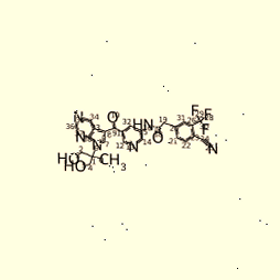 CC(CO)(CO)n1cc(C(=O)c2cncc(NC(=O)Cc3ccc(C#N)c(C(F)(F)F)c3)c2)c2cncnc21